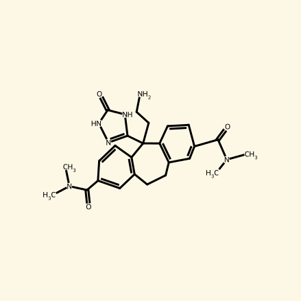 CN(C)C(=O)c1ccc2c(c1)CCc1cc(C(=O)N(C)C)ccc1C2(CCN)c1n[nH]c(=O)[nH]1